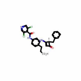 C[C@]1(Cc2ccccc2)C(=O)C=C1Nc1cc(NC(=O)c2c(Cl)cncc2Cl)ccc1CCC(=O)O